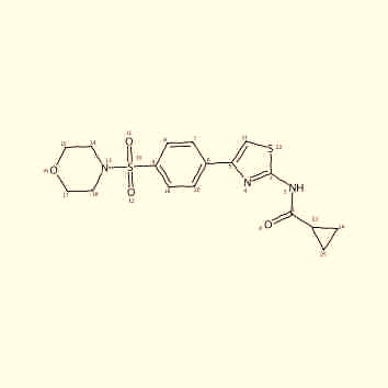 O=C(Nc1nc(-c2ccc(S(=O)(=O)N3CCOCC3)cc2)cs1)C1CC1